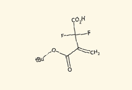 C=C(C(=O)OC(C)(C)C)C(F)(F)C(=O)O